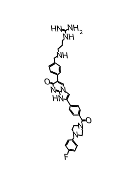 N=C(N)NCCCNCc1ccc(-c2cn3cc(-c4ccc(C(=O)N5CCN(c6ccc(F)cc6)CC5)cc4)[nH]c3nc2=O)cc1